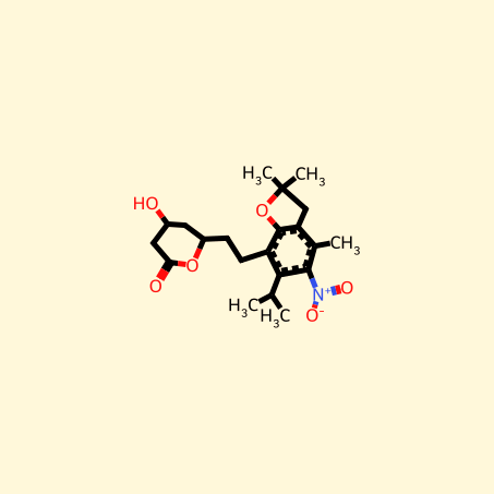 Cc1c2c(c(CCC3CC(O)CC(=O)O3)c(C(C)C)c1[N+](=O)[O-])OC(C)(C)C2